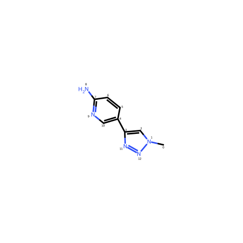 Cn1cc(-c2ccc(N)nc2)nn1